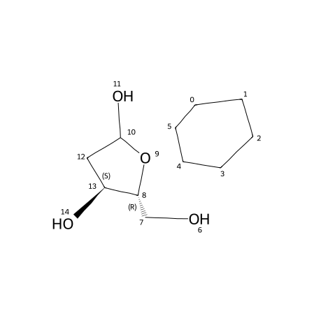 C1CCCCC1.OC[C@H]1OC(O)C[C@@H]1O